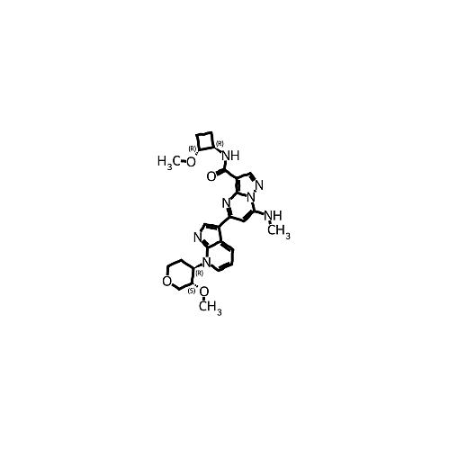 CNc1cc(-c2cnc3n([C@@H]4CCOC[C@H]4OC)cccc2-3)nc2c(C(=O)N[C@@H]3CC[C@H]3OC)cnn12